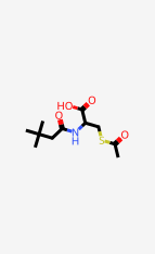 CC(=O)SCC(NC(=O)CC(C)(C)C)C(=O)O